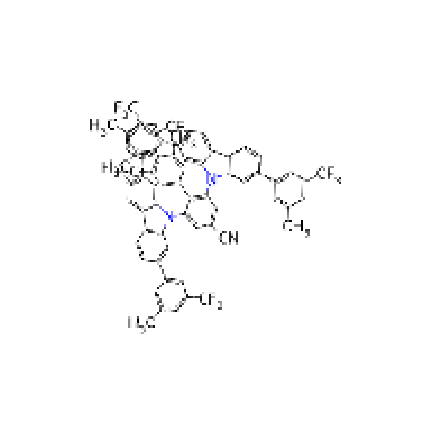 Cc1cc(-c2ccc3c4ccc(-c5cc(C)cc(C(F)(F)F)c5)cc4n(-c4cc(C#N)cc(-n5c6cc(-c7cc(C)cc(C(F)(F)F)c7)ccc6c6ccc(-c7cc(C)cc(C(F)(F)F)c7)cc65)c4-c4cc(C)cc(C(F)(F)F)c4)c3c2)cc(C(F)(F)F)c1